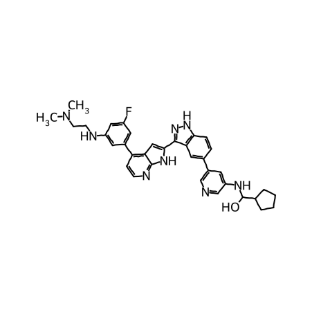 CN(C)CCNc1cc(F)cc(-c2ccnc3[nH]c(-c4n[nH]c5ccc(-c6cncc(NC(O)C7CCCC7)c6)cc45)cc23)c1